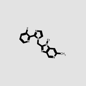 CCn1c(Cn2ccnc2-c2ncccc2F)nc2cnc(C)cc21